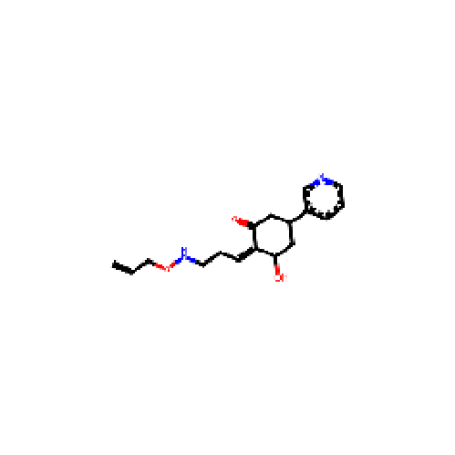 C=CCONCCC=C1C(=O)CC(c2cccnc2)CC1O